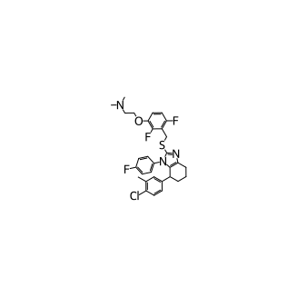 Cc1cc(C2CCCc3nc(SCc4c(F)ccc(OCCN(C)C)c4F)n(-c4ccc(F)cc4)c32)ccc1Cl